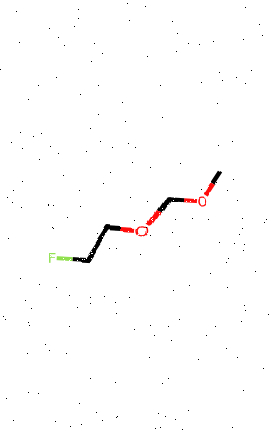 COCOCCF